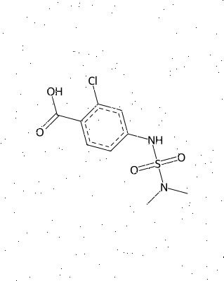 CN(C)S(=O)(=O)Nc1ccc(C(=O)O)c(Cl)c1